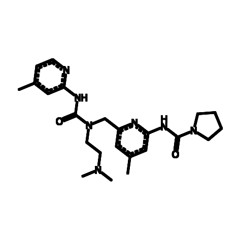 Cc1ccnc(NC(=O)N(CCN(C)C)Cc2cc(C)cc(NC(=O)N3CCCC3)n2)c1